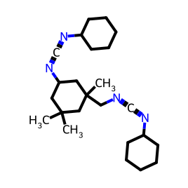 CC1(C)CC(N=C=NC2CCCCC2)CC(C)(CN=C=NC2CCCCC2)C1